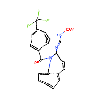 O=C(c1ccc(C(F)(F)F)cc1)N1c2ccccc2C=CC1N=CNO